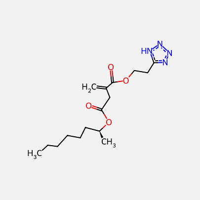 C=C(CC(=O)O[C@@H](C)CCCCCC)C(=O)OCCc1nnn[nH]1